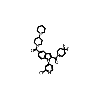 O=C(c1ccc2c(c1)cc(C(=O)N1CCC(F)(F)CC1)n2-c1ccnc(Cl)c1)N1CCC(N2CCCCC2)CC1